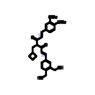 COc1ccc(/C=C/C(=O)C(CC2CCC2)C(=O)/C=C/c2ccc(CO)c(CO)c2)cc1OC